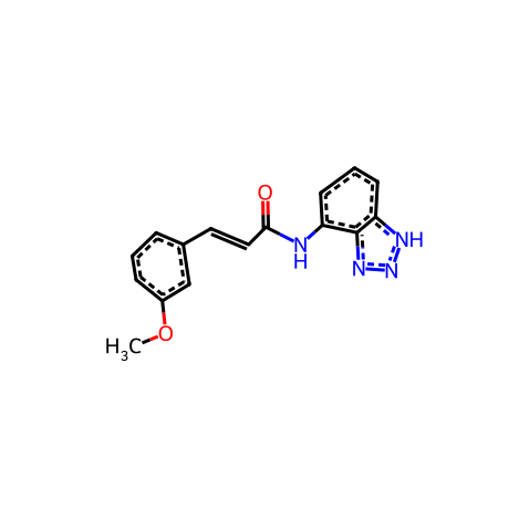 COc1cccc(C=CC(=O)Nc2cccc3[nH]nnc23)c1